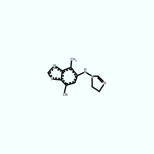 Cc1c(NN2C=NCC2)cc(C#N)c2scnc12